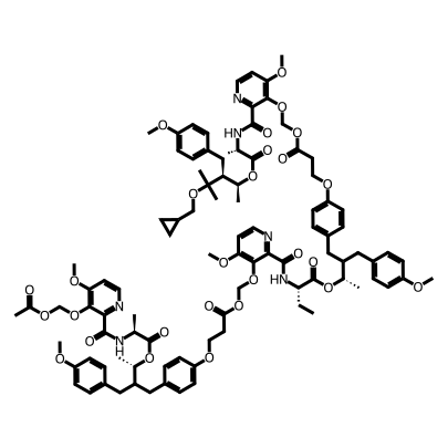 CC[C@H](NC(=O)c1nccc(OC)c1OCOC(=O)CCOc1ccc(CC(Cc2ccc(OC)cc2)[C@H](C)OC(=O)[C@H](C)NC(=O)c2nccc(OC)c2OCOC(C)=O)cc1)C(=O)O[C@@H](C)C(Cc1ccc(OC)cc1)Cc1ccc(OCCC(=O)OCOc2c(OC)ccnc2C(=O)N[C@@H](C)C(=O)O[C@@H](C)[C@H](Cc2ccc(OC)cc2)C(C)(C)OCC2CC2)cc1